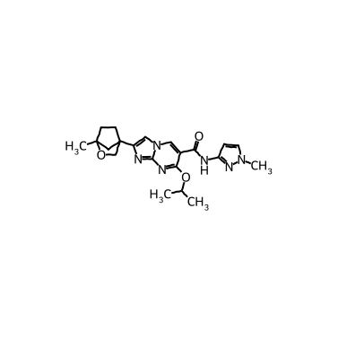 CC(C)Oc1nc2nc(C34CCC(C)(C3)OC4)cn2cc1C(=O)Nc1ccn(C)n1